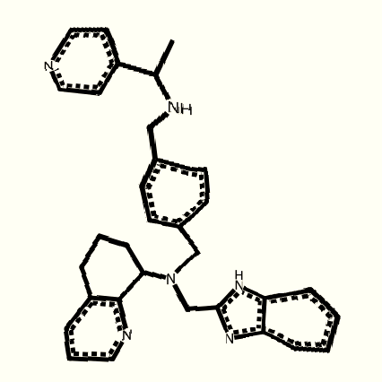 CC(NCc1ccc(CN(Cc2nc3ccccc3[nH]2)C2CCCc3cccnc32)cc1)c1ccncc1